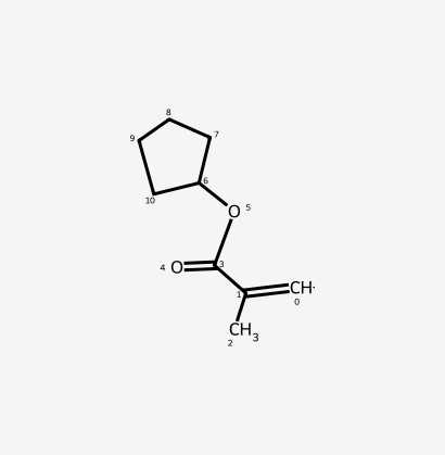 [CH]=C(C)C(=O)OC1CCCC1